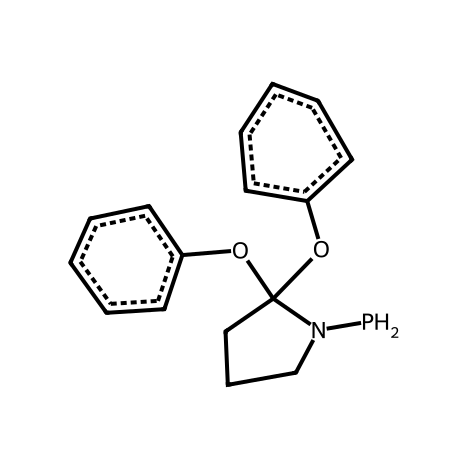 PN1CCCC1(Oc1ccccc1)Oc1ccccc1